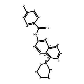 Cc1ccc(C(=O)Nc2ccc3c(N4CCCCC4)ncnc3c2)cc1